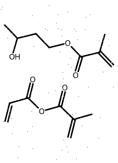 C=C(C)C(=O)OCCC(C)O.C=CC(=O)OC(=O)C(=C)C